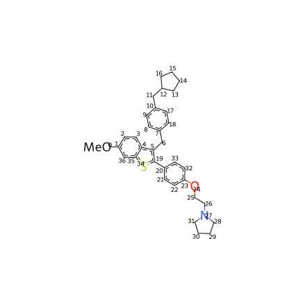 COc1ccc2c(Cc3ccc(CC4CCCC4)cc3)c(-c3ccc(OCCN4CCCC4)cc3)sc2c1